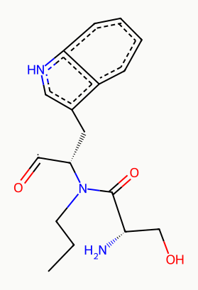 CCCN(C(=O)[C@@H](N)CO)[C@H]([C]=O)Cc1c[nH]c2ccccc12